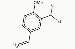 C=Cc1ccc(OC)c(C(Cl)CC)c1